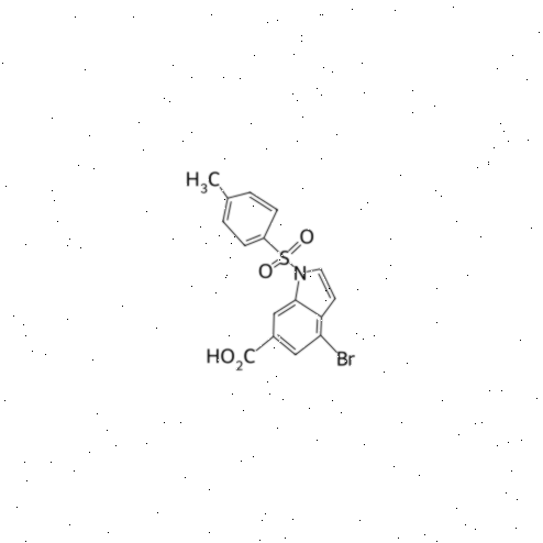 Cc1ccc(S(=O)(=O)n2ccc3c(Br)cc(C(=O)O)cc32)cc1